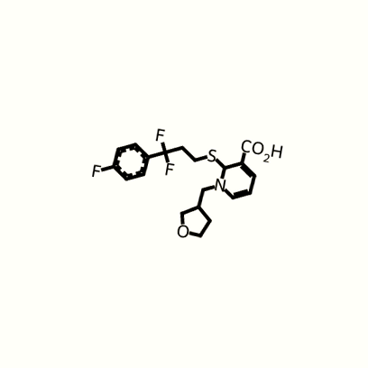 O=C(O)C1=CC=CN(CC2CCOC2)C1SCCC(F)(F)c1ccc(F)cc1